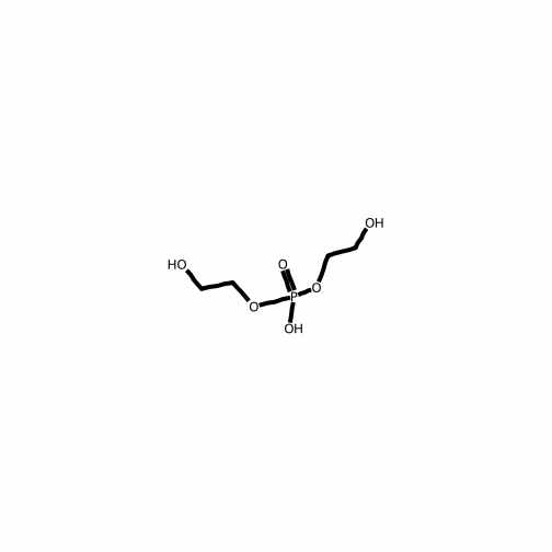 O=P(O)(OCCO)OCCO